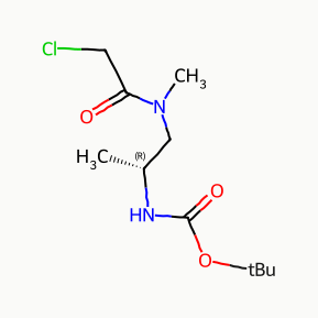 C[C@H](CN(C)C(=O)CCl)NC(=O)OC(C)(C)C